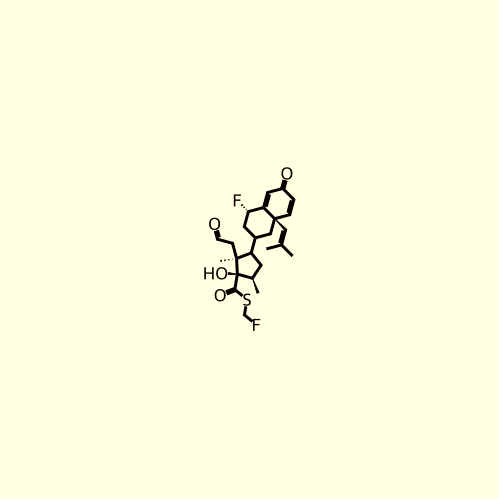 CC(C)=C[C@]12C=CC(=O)C=C1[C@@H](F)CC(C1C[C@@H](C)[C@](O)(C(=O)SCF)[C@@]1(C)CC=O)C2